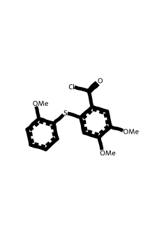 COc1cc(Sc2ccccc2OC)c(C(=O)Cl)cc1OC